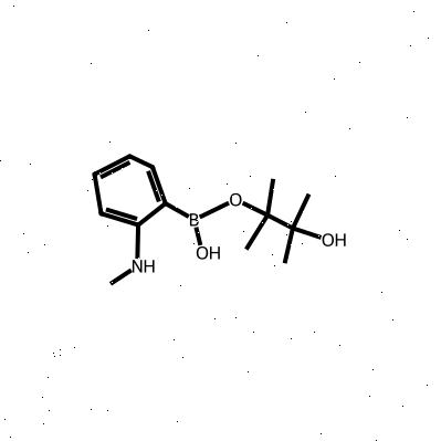 CNc1ccccc1B(O)OC(C)(C)C(C)(C)O